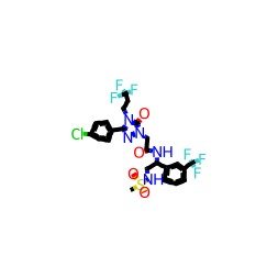 CS(=O)(=O)NCC(NC(=O)Cn1nc(-c2ccc(Cl)cc2)n(CCC(F)(F)F)c1=O)c1cccc(C(F)(F)F)c1